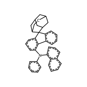 c1ccc(N(c2cccc3c2-c2ccccc2C32C3CCC4CC(C3)CC2C4)c2cccc3ccccc23)cc1